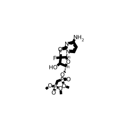 COP(=O)(CP(=O)(OC)OC[C@H]1O[C@@H](n2ccc(N)nc2=O)C(F)(F)C1O)OC